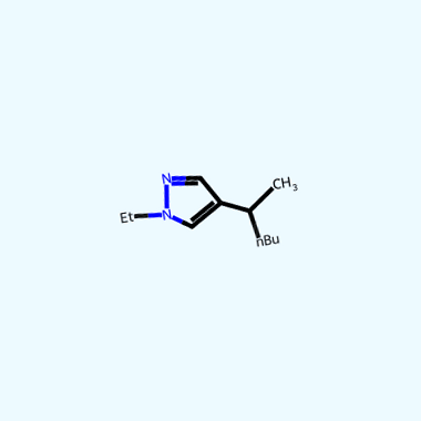 CCCCC(C)c1cnn(CC)c1